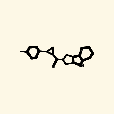 Cc1ccc(C2CC2C(=O)N2Cc3[nH]c4ccccc4c3C2)cc1